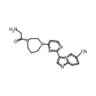 N#Cc1ccc2ncc(-c3nccc(N4CCCN(C(=O)CN)CC4)n3)n2c1